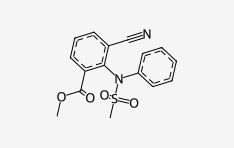 COC(=O)c1cccc(C#N)c1N(c1ccccc1)S(C)(=O)=O